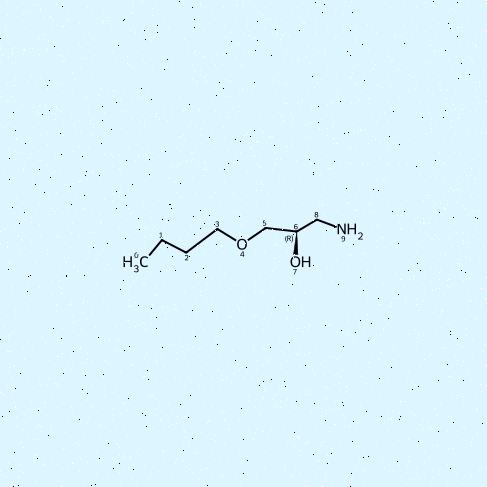 CCCCOC[C@H](O)CN